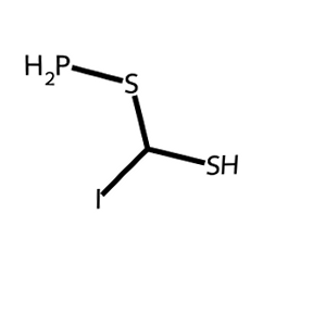 PSC(S)I